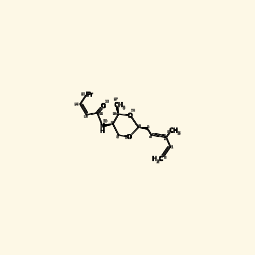 C=C/C(C)=C/C[C@H]1OC[C@@H](NC(=O)/C=C\C(C)C)[C@@H](C)O1